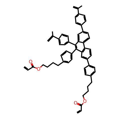 C=CC(=O)OCCCCc1ccc(-c2ccc3c(c2)c(-c2ccc(CCCCOC(=O)C=C)cc2)c(-c2ccc(C(=C)C)cc2)c2cc(-c4ccc(C(=C)C)cc4)ccc23)cc1